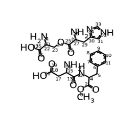 COC(=O)C(Cc1ccccc1)NC(=O)C(N)CC(=O)O.N[C@@H](COC(=O)[C@@H](N)Cc1c[nH]cn1)C(=O)O